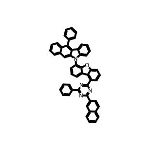 c1ccc(-c2nc(-c3ccc4ccccc4c3)nc(-c3cccc4oc5c(-n6c7ccccc7c7c(-c8ccccc8)c8ccccc8cc76)cccc5c34)n2)cc1